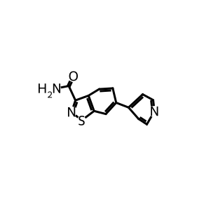 NC(=O)c1nsc2cc(-c3ccncc3)ccc12